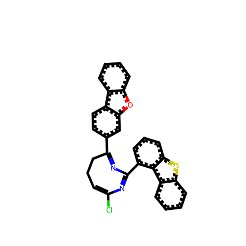 ClC1=C/CC/C(c2ccc3c(c2)oc2ccccc23)=N/C(c2cccc3sc4ccccc4c23)=N\1